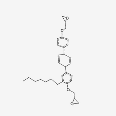 CCCCCCCc1cc(C2C=CC(c3ccc(OCC4CO4)cc3)C=C2)ccc1OCC1CO1